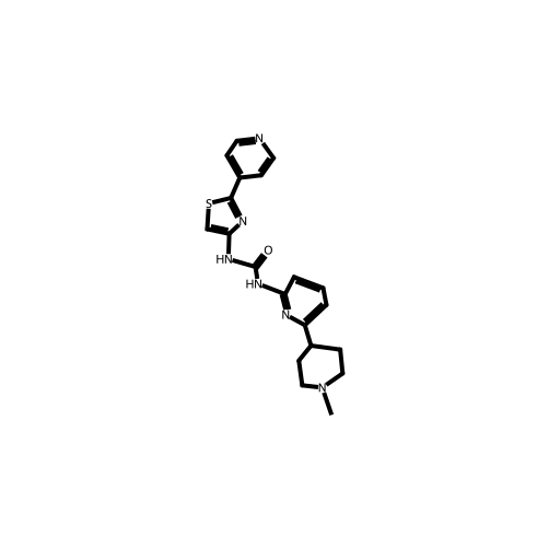 CN1CCC(c2cccc(NC(=O)Nc3csc(-c4ccncc4)n3)n2)CC1